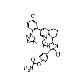 NC(=O)Oc1ccc(-c2[nH]c(C3CCCc4cc(-c5cc(Cl)ccc5-n5cnnn5)c[n+]([O-])c43)nc2Cl)cc1